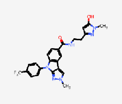 Cn1cc2c3cc(C(=O)NCCc4cc(O)n(C)n4)ccc3n(-c3ccc(C(F)(F)F)cc3)c2n1